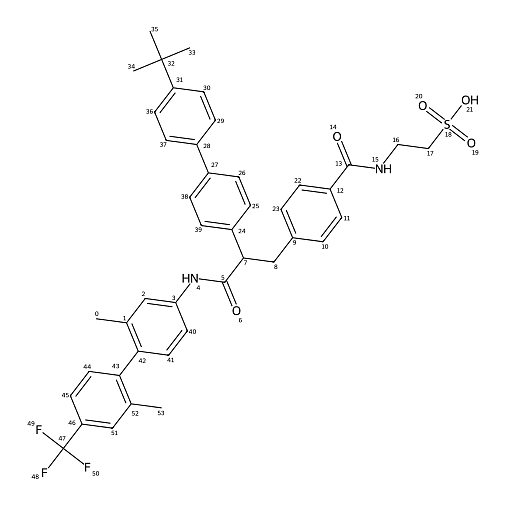 Cc1cc(NC(=O)C(Cc2ccc(C(=O)NCCS(=O)(=O)O)cc2)c2ccc(-c3ccc(C(C)(C)C)cc3)cc2)ccc1-c1ccc(C(F)(F)F)cc1C